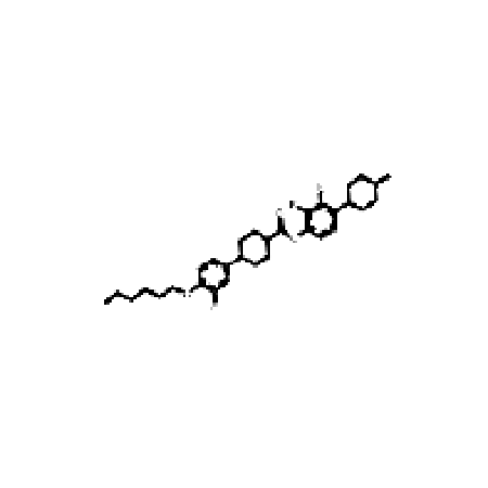 CCCCCCOc1ccc(C2CCC(C(=O)Oc3ccc(C4CCC(C)CC4)c(F)c3F)CC2)cc1F